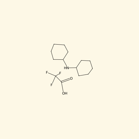 C1CCC(NC2CCCCC2)CC1.O=C(O)C(F)(F)F